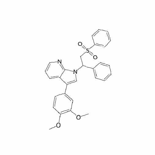 COc1ccc(-c2cn(C(CS(=O)(=O)c3ccccc3)c3ccccc3)c3ncccc23)cc1OC